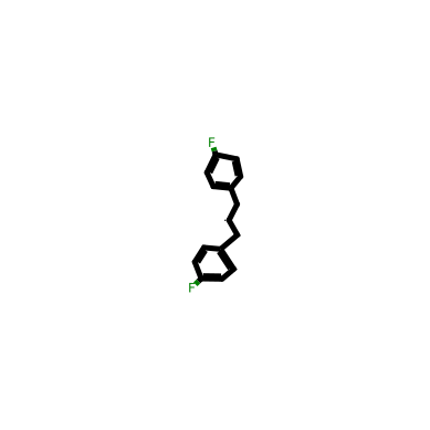 Fc1ccc(C[CH]Cc2ccc(F)cc2)cc1